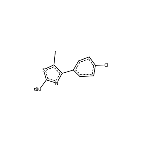 Cc1sc(C(C)(C)C)nc1-c1ccc(Cl)cc1